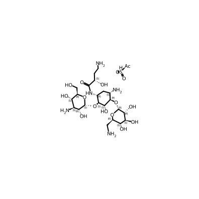 CC(=O)[SH](=O)=O.NCC[C@H](O)C(=O)N[C@@H]1C[C@H](N)[C@@H](O[C@H]2O[C@H](CN)[C@@H](O)[C@H](O)[C@H]2O)[C@H](O)[C@H]1O[C@H]1O[C@H](CO)[C@@H](O)[C@H](N)[C@H]1O